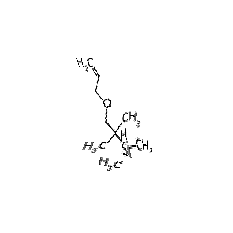 C=CCOCC(C)(C)[SiH](C)C